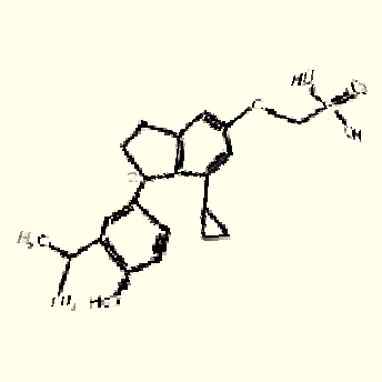 CC(C)c1cc([C@H]2CCc3cc(OCP(=O)(O)O)cc(C4CC4)c32)ccc1O